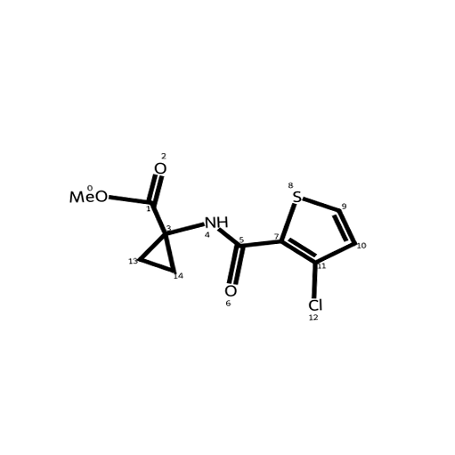 COC(=O)C1(NC(=O)c2sccc2Cl)CC1